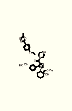 COC[C@]1(O)CCCC[C@H]1n1cnc(C(=O)N2CCNC[C@H]2CCOc2ccc(-c3nnc(C)o3)cc2)c1-c1ccccc1.Cl.Cl